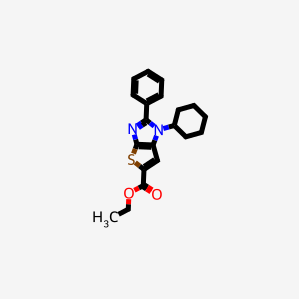 CCOC(=O)c1cc2c(nc(-c3ccccc3)n2C2CCCCC2)s1